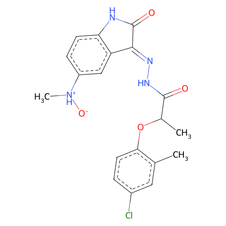 Cc1cc(Cl)ccc1OC(C)C(=O)N/N=C1/C(=O)Nc2ccc([NH+](C)[O-])cc21